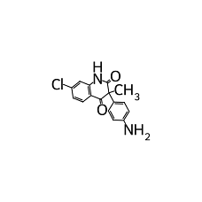 CC1(c2ccc(N)cc2)C(=O)Nc2cc(Cl)ccc2C1=O